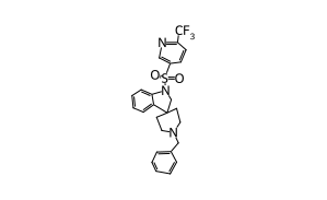 O=S(=O)(c1ccc(C(F)(F)F)nc1)N1CC2(CCN(Cc3ccccc3)CC2)c2ccccc21